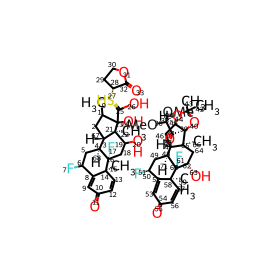 CC1C[C@H]2[C@@H]3CC(F)C4=CC(=O)C=C[C@]4(C)[C@]3(F)CC(O)[C@]2(C)C1(O)C(O)=[SH][C@@H]1CCOC1=O.COC(OC)C(=O)[C@@]12OC(C)(C)O[C@@H]1C[C@H]1[C@@H]3C[C@H](F)C4=CC(=O)C=C[C@]4(C)[C@@]3(F)[C@@H](O)C[C@@]12C